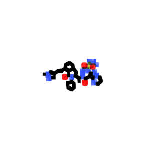 CC(NC(=O)c1c(NS(N)(=O)=O)nn2cccnc12)c1cc2cccc(C#Cc3cnn(C)c3)c2c(=O)n1-c1ccccc1